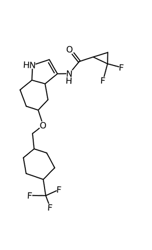 O=C(NC1=CNC2CCC(OCC3CCC(C(F)(F)F)CC3)CC12)C1CC1(F)F